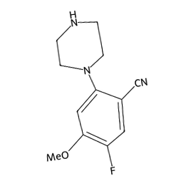 COc1cc(N2CCNCC2)c(C#N)cc1F